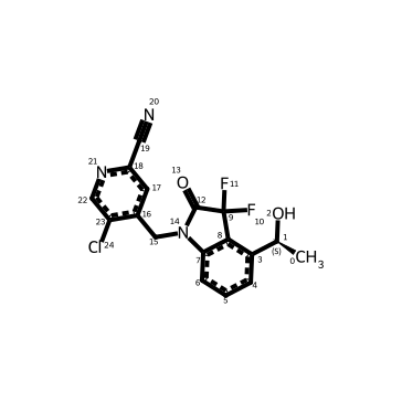 C[C@H](O)c1cccc2c1C(F)(F)C(=O)N2Cc1cc(C#N)ncc1Cl